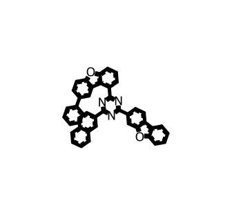 c1ccc(-c2ccc3oc4cccc(-c5nc(-c6ccc7ccccc7c6)nc(-c6ccc7c(c6)oc6ccccc67)n5)c4c3c2)cc1